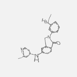 CNc1cccc(N2Cc3cc(Nc4ccnc(C)c4)ccc3C2=O)c1